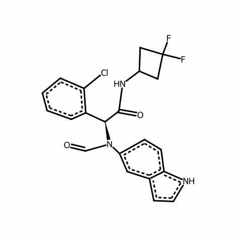 O=CN(c1ccc2[nH]ccc2c1)[C@H](C(=O)NC1CC(F)(F)C1)c1ccccc1Cl